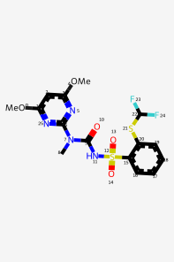 COc1cc(OC)nc(N(C)C(=O)NS(=O)(=O)c2ccccc2SC(F)F)n1